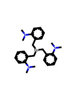 CN(C)c1ccccc1[CH2][Ho]([CH2]c1ccccc1N(C)C)[CH2]c1ccccc1N(C)C